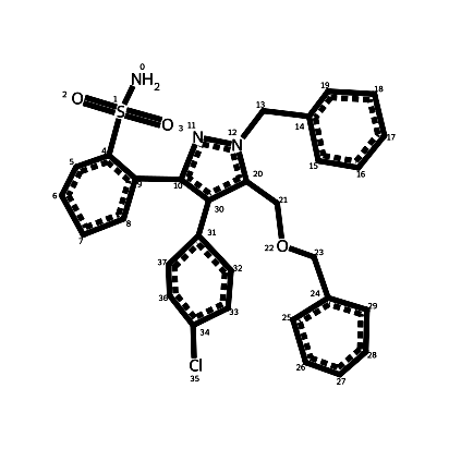 NS(=O)(=O)c1ccccc1-c1nn(Cc2ccccc2)c(COCc2ccccc2)c1-c1ccc(Cl)cc1